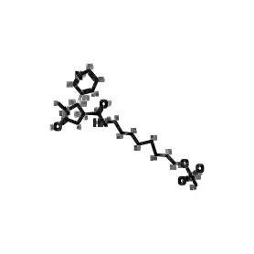 CN1C(=O)C[C@H](C(=O)NCCCCCCCCOS(C)(=O)=O)[C@H]1c1cccnc1